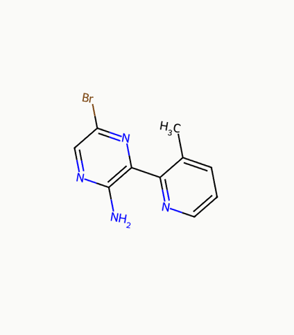 Cc1cccnc1-c1nc(Br)cnc1N